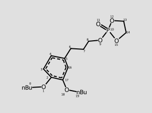 CCCCOc1ccc(CCCOP2(=O)OCCO2)cc1OCCCC